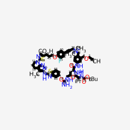 C#CCOCc1cc(NC(=O)[C@H](CCCNC(N)=O)NC(=O)[C@@H](NC(=O)OC(C)(C)C)C(C)C)ccc1C[N+](C)(C)CC#Cc1ccc(OCCCc2sc(N3CCCc4c3nnc(Nc3nc5ccccc5s3)c4C)nc2C(=O)O)c(F)c1